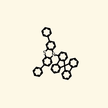 c1ccc(-c2ccc3c(c2)Sc2cc(-c4ccccc4)ccc2N3c2cccc3c2-c2ccccc2C32c3ccccc3-c3ccccc32)cc1